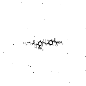 CCOC(=O)Nc1ccc(NCc2ccc(NC(C)=O)cc2)nc1N